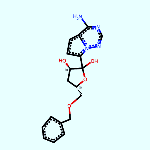 Nc1ncnn2c(C3(O)O[C@H](COCc4ccccc4)C[C@H]3O)ccc12